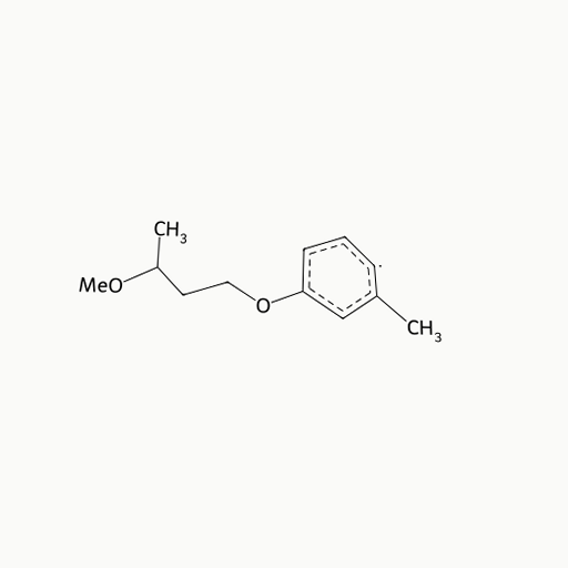 COC(C)CCOc1cc[c]c(C)c1